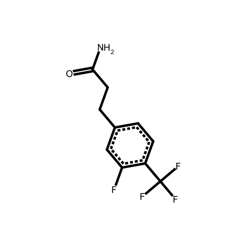 NC(=O)CCc1ccc(C(F)(F)F)c(F)c1